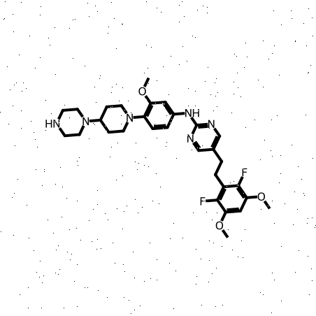 COc1cc(Nc2ncc(CCc3c(F)c(OC)cc(OC)c3F)cn2)ccc1N1CCC(N2CCNCC2)CC1